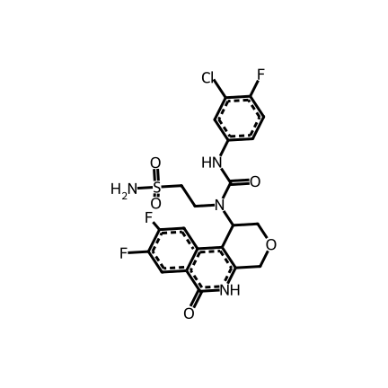 NS(=O)(=O)CCN(C(=O)Nc1ccc(F)c(Cl)c1)C1COCc2[nH]c(=O)c3cc(F)c(F)cc3c21